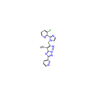 CCCc1c(Cn2ccnc2-c2ncccc2F)ncn2nc(-c3cccnc3)nc12